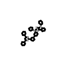 c1ccc(-c2cc(-c3ccccc3)nc(-c3cccc(-c4ccc5c(c4)n(-c4ccccc4)c4nc6c(c7ccccc7n6-c6ccccc6)n54)c3)n2)cc1